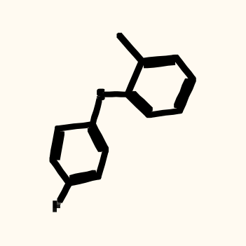 Cc1ccccc1Sc1ccc(F)cc1